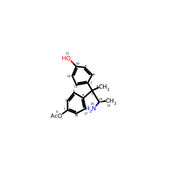 CC(=O)Oc1ccc(C(C)(c2ccc(O)cc2)[C@@H](C)N)cc1